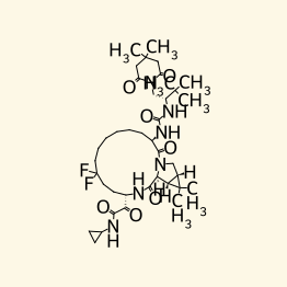 CC1(C)CC(=O)N(C[C@@H](NC(=O)N[C@@H]2CCCCCCC(F)(F)CC[C@@H](C(=O)C(=O)NC3CC3)NC(=O)[C@@H]3[C@@H]4[C@H](CN3C2=O)C4(C)C)C(C)(C)C)C(=O)C1